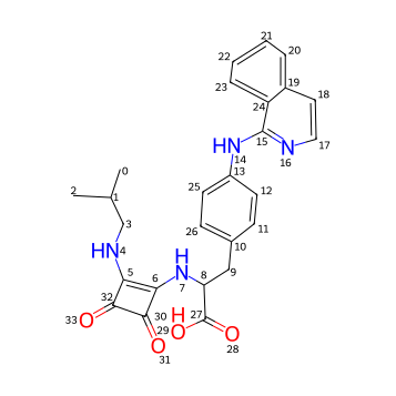 CC(C)CNc1c(NC(Cc2ccc(Nc3nccc4ccccc34)cc2)C(=O)O)c(=O)c1=O